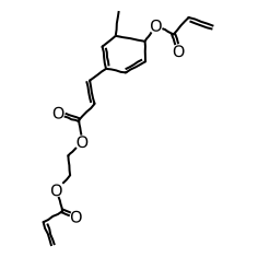 C=CC(=O)OCCOC(=O)/C=C/C1=CC(C)C(OC(=O)C=C)C=C1